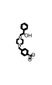 O=[N+]([O-])c1ccc(CN2CCN(C[C@H](O)c3ccccc3)CC2)cc1